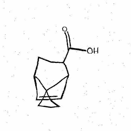 O=C(O)C1CC2C=CC1C21CC1